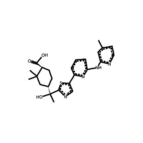 Cc1ccnc(Nc2cccc(-c3cnc(C(C)(O)[C@H]4CC[C@H](C(=O)O)C(C)(C)C4)s3)n2)c1